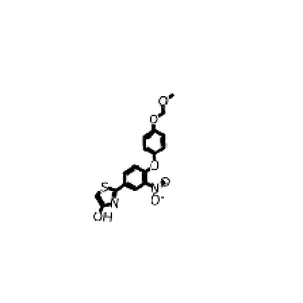 COCOc1ccc(Oc2ccc(-c3nc(O)cs3)cc2[N+](=O)[O-])cc1